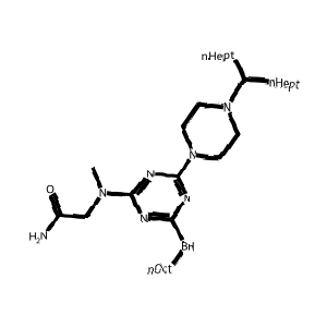 CCCCCCCCBc1nc(N(C)CC(N)=O)nc(N2CCN(C(CCCCCCC)CCCCCCC)CC2)n1